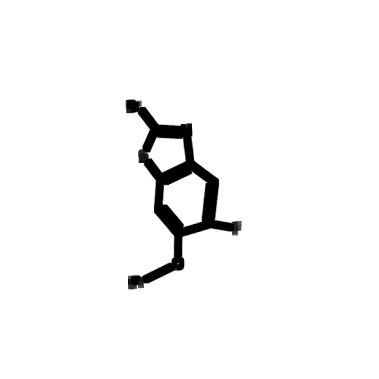 CC(C)Oc1cc2sc(Br)nc2cc1F